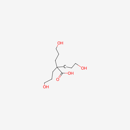 O=C(O)C(CCCO)(CCCO)CCCO